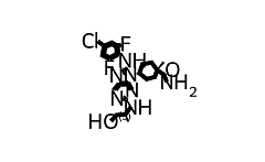 C[C@@H](CO)Nc1ncc2nc(Nc3c(F)cc(Cl)cc3F)n([C@H]3CC[C@@](C)(C(N)=O)CC3)c2n1